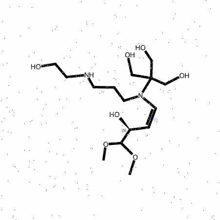 COC(OC)[C@@H](O)/C=C\N(CCCNCCO)C(CO)(CO)CO